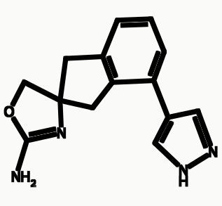 NC1=NC2(CO1)Cc1cccc(-c3cn[nH]c3)c1C2